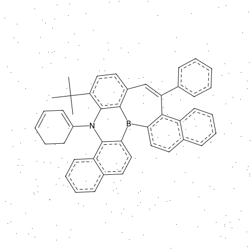 CC(C)(C)c1ccc2c3c1N(C1=CC=CCC1)c1c(ccc4ccccc14)B3c1ccc3ccccc3c1C(c1ccccc1)=C2